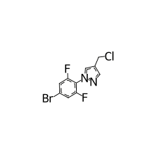 Fc1cc(Br)cc(F)c1-n1cc(CCl)cn1